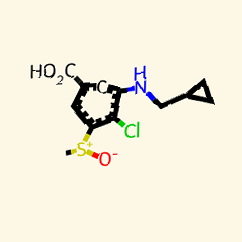 C[S+]([O-])c1cc(C(=O)O)cc(NCC2CC2)c1Cl